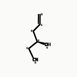 C=CC[C@@H](O)CC#N